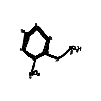 O=[N+]([O-])c1ccccc1CS(=O)(=O)O